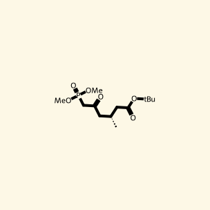 COP(=O)(CC(=O)C[C@@H](C)CC(=O)OC(C)(C)C)OC